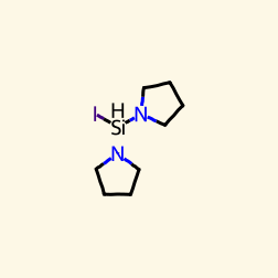 I[SiH](N1CCCC1)N1CCCC1